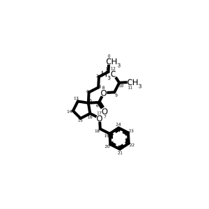 CCCCCC1(C(=O)OCC(C)C)CCCC1OCc1ccccc1